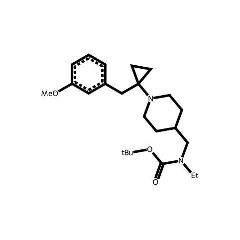 CCN(CC1CCN(C2(Cc3cccc(OC)c3)CC2)CC1)C(=O)OC(C)(C)C